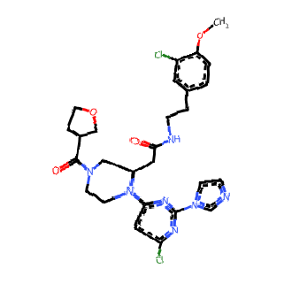 COc1ccc(CCNC(=O)CC2CN(C(=O)C3CCOC3)CCN2c2cc(Cl)nc(-n3ccnc3)n2)cc1Cl